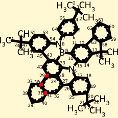 CC(C)(C)c1ccc(N2B3c4cc5c(cc4N(c4ccc(C(C)(C)C)cc4-c4ccccc4)c4cc(-c6ccccc6)cc(c43)-c3cc(C(C)(C)C)ccc32)C(C)(C)c2ccccc2-5)cc1